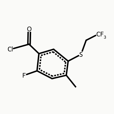 Cc1cc(F)c(C(=O)Cl)cc1SCC(F)(F)F